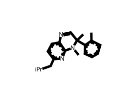 Cc1ccccc1C1(C)C=Nc2ccc(CC(C)C)nc2N1C